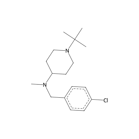 CN(Cc1ccc(Cl)cc1)C1CCN(C(C)(C)C)CC1